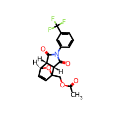 CC(=O)OCC12C=C[C@H](O1)[C@@H]1C(=O)N(c3cccc(C(F)(F)F)c3)C(=O)[C@@H]12